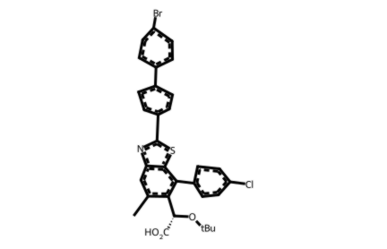 Cc1cc2nc(-c3ccc(-c4ccc(Br)cc4)cc3)sc2c(-c2ccc(Cl)cc2)c1[C@H](OC(C)(C)C)C(=O)O